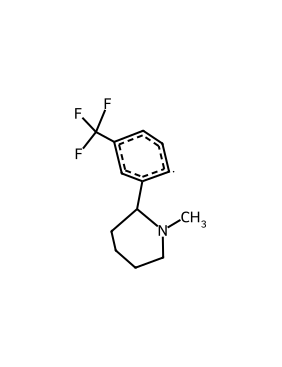 CN1CCCCC1c1[c]ccc(C(F)(F)F)c1